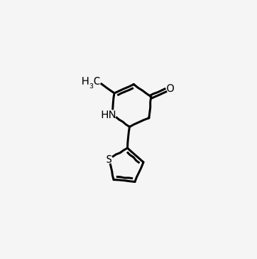 CC1=CC(=O)CC(c2cccs2)N1